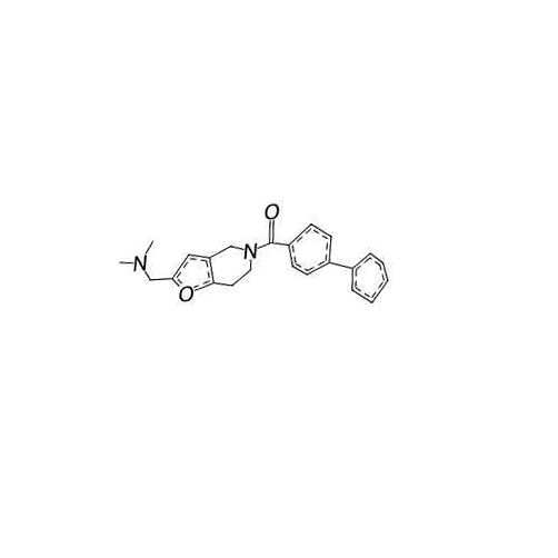 CN(C)Cc1cc2c(o1)CCN(C(=O)c1ccc(-c3ccccc3)cc1)C2